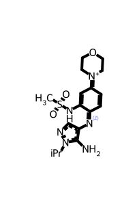 CC(C)n1ncc(/N=C2/C=CC(=[N+]3CCOCC3)C=C2NS(C)(=O)=O)c1N